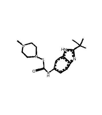 CN1CCN(SC(=O)Nc2ccc3nc(C(C)(C)C)[nH]c3c2)CC1